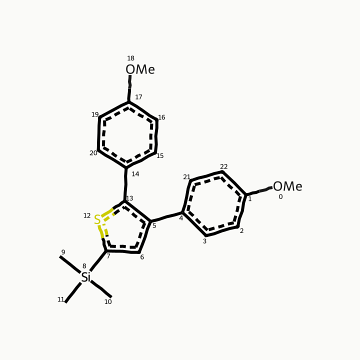 COc1ccc(-c2cc([Si](C)(C)C)sc2-c2ccc(OC)cc2)cc1